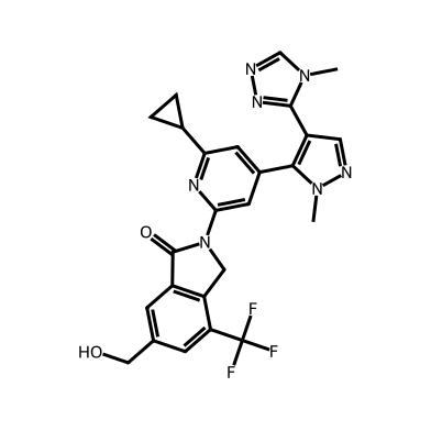 Cn1cnnc1-c1cnn(C)c1-c1cc(C2CC2)nc(N2Cc3c(cc(CO)cc3C(F)(F)F)C2=O)c1